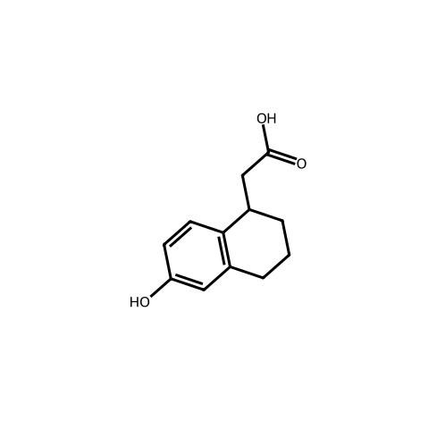 O=C(O)CC1CCCc2cc(O)ccc21